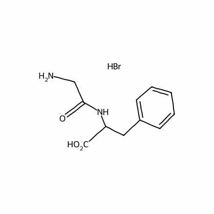 Br.NCC(=O)NC(Cc1ccccc1)C(=O)O